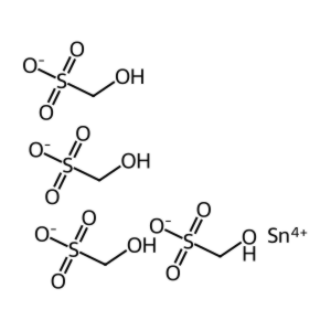 O=S(=O)([O-])CO.O=S(=O)([O-])CO.O=S(=O)([O-])CO.O=S(=O)([O-])CO.[Sn+4]